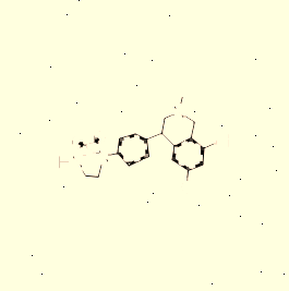 CN1Cc2c(Cl)cc(Cl)cc2C(c2ccc(N3CCNS3(=O)=O)cc2)C1